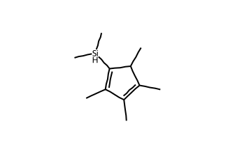 CC1=C(C)C(C)C([SiH](C)C)=C1C